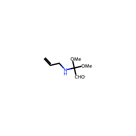 C=CCNC([C]=O)(OC)OC